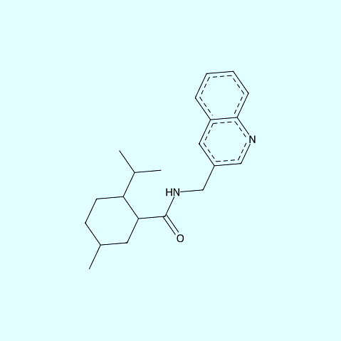 CC1CCC(C(C)C)C(C(=O)NCc2cnc3ccccc3c2)C1